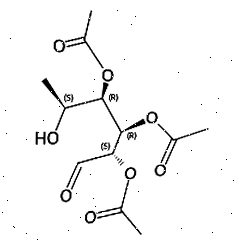 CC(=O)O[C@H]([C@H](OC(C)=O)[C@H](C)O)[C@@H](C=O)OC(C)=O